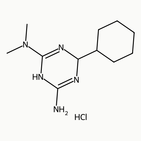 CN(C)C1=NC(C2CCCCC2)N=C(N)N1.Cl